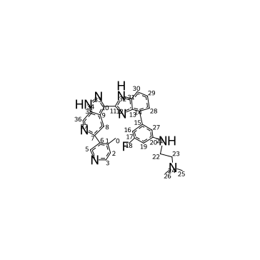 Cc1ccncc1-c1cc2c(-c3nc4c(-c5cc(F)cc(NCCN(C)C)c5)cccc4[nH]3)n[nH]c2cn1